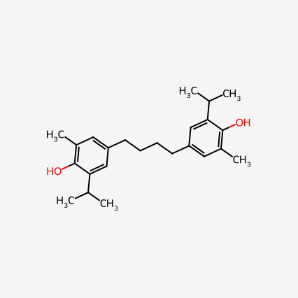 Cc1cc(CCCCc2cc(C)c(O)c(C(C)C)c2)cc(C(C)C)c1O